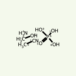 CC#N.CO.N.O=P(O)(O)O